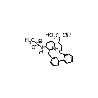 CS(=O)(=O)NC1CCCNC1Cc1cccc(-c2ccccc2OCCCC(=O)O)c1.Cl